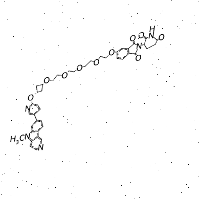 Cn1c2ccncc2c2ccc(-c3ccc(O[C@H]4C[C@H](OCCOCCOCCOCCOc5ccc6c(c5)C(=O)N(C5CCC(=O)NC5=O)C6=O)C4)nc3)cc21